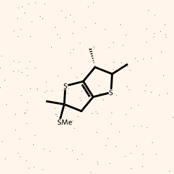 CSC1(C)CC2=C(S1)[C@H](C)C(C)S2